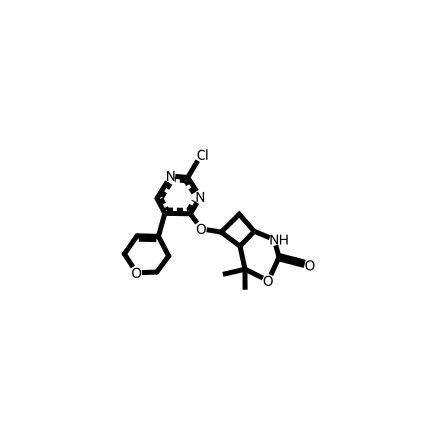 CC1(C)OC(=O)NC2CC(Oc3nc(Cl)ncc3C3=CCOCC3)C21